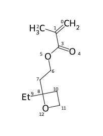 C=C(C)C(=O)OCCC1(CC)CCO1